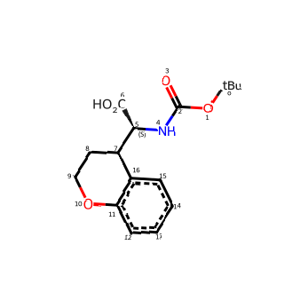 CC(C)(C)OC(=O)N[C@H](C(=O)O)C1CCOc2ccccc21